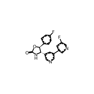 O=C1N[C@@H](c2cncc(-c3cncc(F)c3)c2)[C@H](c2ccc(F)cc2)O1